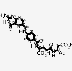 CC(=O)[C@H](CC(=O)O)NC(=O)CC[C@H](NC(=O)c1ccc(NCc2cnc3nc(N)[nH]c(=O)c3n2)cc1)C(=O)O